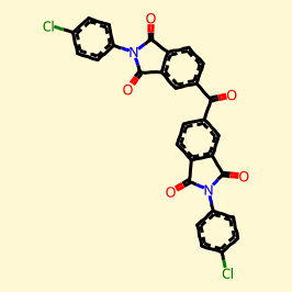 O=C(c1ccc2c(c1)C(=O)N(c1ccc(Cl)cc1)C2=O)c1ccc2c(c1)C(=O)N(c1ccc(Cl)cc1)C2=O